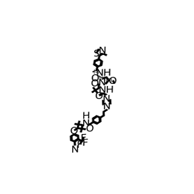 CO[C@@H]1C[C@@H](C(=O)N[C@@H](C)c2ccc(-c3scnc3C)cc2)N(C(=O)C(NC(=O)CN2CCN(CCCc3ccc(C(=O)NC4C(C)(C)C(Oc5ccc(C#N)c(C(F)(F)F)c5)C4(C)C)cc3)CC2)C(C)(C)C)C1